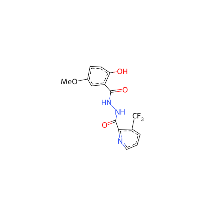 COc1ccc(O)c(C(=O)NNC(=O)c2ncccc2C(F)(F)F)c1